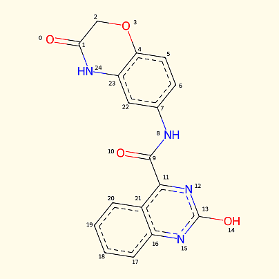 O=C1COc2ccc(NC(=O)c3nc(O)nc4ccccc34)cc2N1